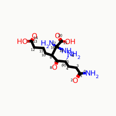 NC(=O)CC[C@@H](N)C(=O)C(CCCC(=O)O)C(N)(N)C(=O)O